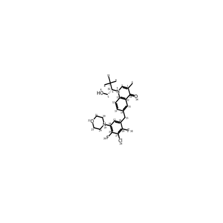 Cc1cn([C@H](CO)C(C)(C)C)c2ccc(Cc3cc(N4CCOCC4)c(F)c(Cl)c3F)cc2c1=O